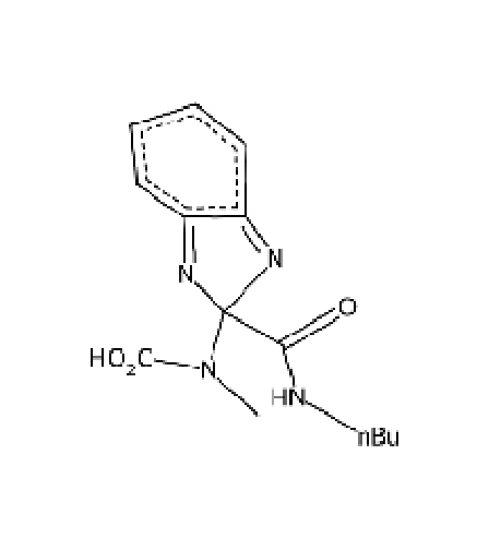 CCCCNC(=O)C1(N(C)C(=O)O)N=c2ccccc2=N1